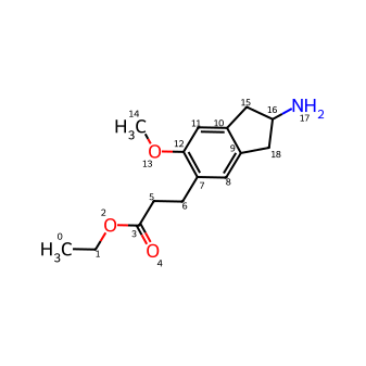 CCOC(=O)CCc1cc2c(cc1OC)CC(N)C2